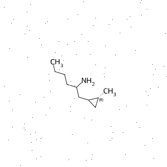 CCCCC(N)CC1C[C@H]1C